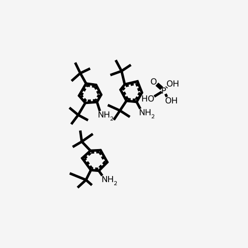 CC(C)(C)c1ccc(N)c(C(C)(C)C)c1.CC(C)(C)c1ccc(N)c(C(C)(C)C)c1.CC(C)(C)c1ccc(N)c(C(C)(C)C)c1.O=P(O)(O)O